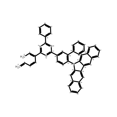 C=C/C=C\C(=C/C)c1nc(-c2ccccc2)nc(-c2ccc(-n3c4cc5ccccc5cc4c4cc5ccccc5cc43)c(-c3ccccc3)c2)n1